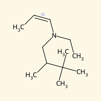 C/C=C\N(CC)CC(C)C(C)(C)C